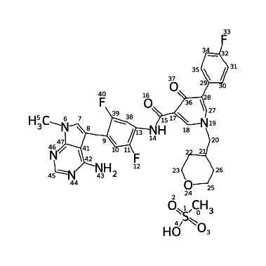 CS(=O)(=O)O.Cn1cc(-c2cc(F)c(NC(=O)c3cn(CC4CCOCC4)cc(-c4ccc(F)cc4)c3=O)cc2F)c2c(N)ncnc21